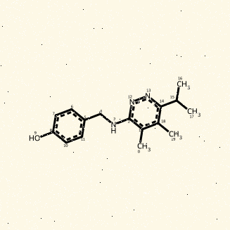 Cc1c(NCc2ccc(O)cc2)nnc(C(C)C)c1C